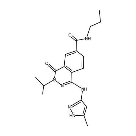 CCCNC(=O)c1ccc2c(Nc3cc(C)[nH]n3)nn(C(C)C)c(=O)c2c1